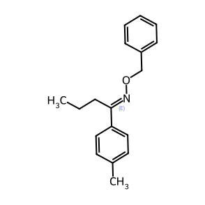 CCC/C(=N\OCc1ccccc1)c1ccc(C)cc1